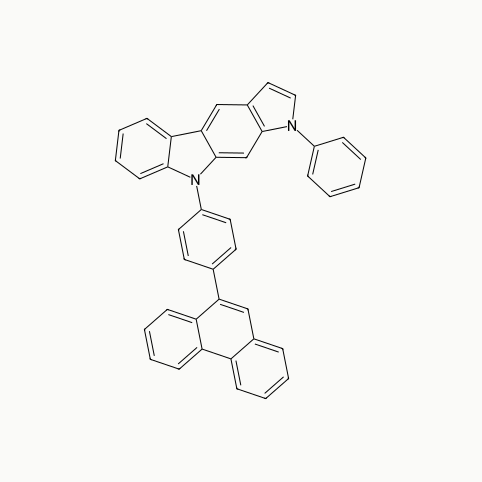 c1ccc(-n2ccc3cc4c5ccccc5n(-c5ccc(-c6cc7ccccc7c7ccccc67)cc5)c4cc32)cc1